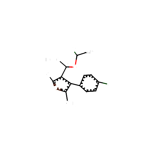 CCCC(F)OC(C(=O)O)c1c(C)sc(C)c1-c1ccc(Cl)cc1